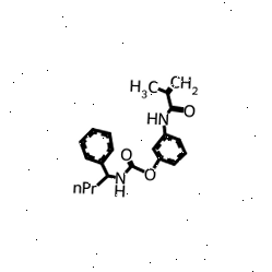 C=C(C)C(=O)Nc1cccc(OC(=O)NC(CCC)c2ccccc2)c1